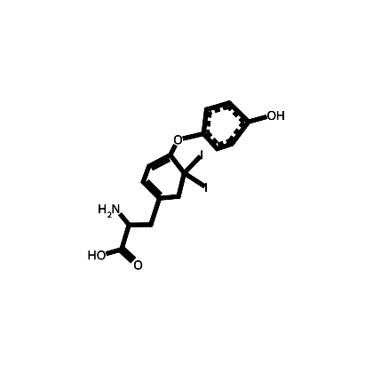 NC(CC1=CC=C(Oc2ccc(O)cc2)C(I)(I)C1)C(=O)O